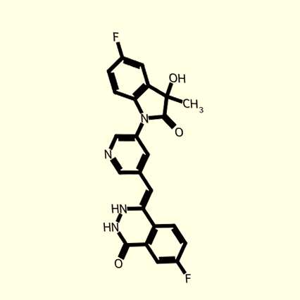 CC1(O)C(=O)N(c2cncc(C=C3NNC(=O)c4cc(F)ccc43)c2)c2ccc(F)cc21